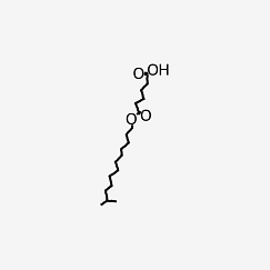 CC(C)CCCCCCCCCCOC(=O)CCCCC(=O)O